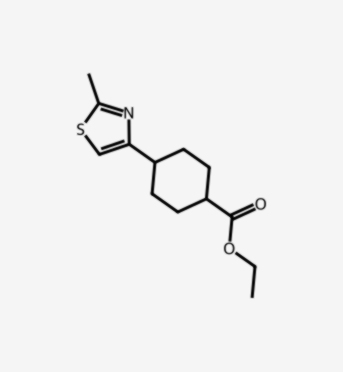 CCOC(=O)C1CCC(c2csc(C)n2)CC1